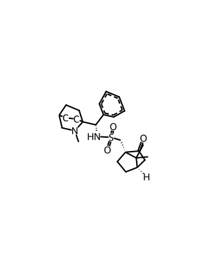 CN1CC2CCC1([C@@H](NS(=O)(=O)C[C@]13CC[C@H](CC1=O)C3(C)C)c1ccccc1)CC2